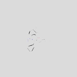 OCC1CCC2C(c3ccccc3)Nc3ccc(Cl)c(F)c3C2O1